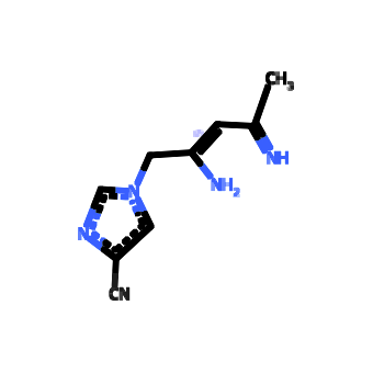 CC(=N)/C=C(\N)Cn1cnc(C#N)c1